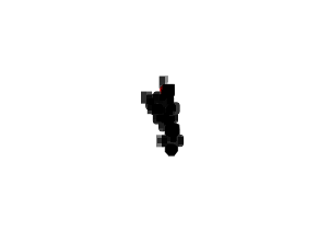 COc1cc(F)ccc1CNC(=O)C1(C)COc2c(oc3cc(C(=O)NC4CCC4)ccc23)C(=O)N1[C@H]1C[C@@H](OC)C1